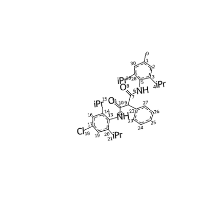 Cc1cc(C(C)C)c(NC(=O)C(C(=O)Nc2c(C(C)C)cc(Cl)cc2C(C)C)c2ccccc2)c(C(C)C)c1